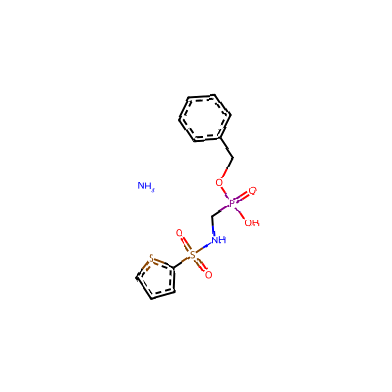 N.O=P(O)(CNS(=O)(=O)c1cccs1)OCc1ccccc1